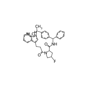 CC(C)c1ccc(C(NC(=O)C2CC(F)CN2C(=O)CCc2c[nH]c3ncccc23)c2ccccc2)cc1